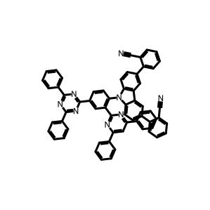 N#Cc1ccccc1-c1ccc2c(c1)c1cc(-c3ccccc3C#N)ccc1n2-c1ccc(-c2nc(-c3ccccc3)nc(-c3ccccc3)n2)cc1-c1nc(-c2ccccc2)cc(-c2ccccc2)n1